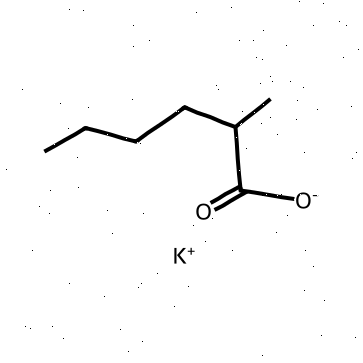 CCCCC(C)C(=O)[O-].[K+]